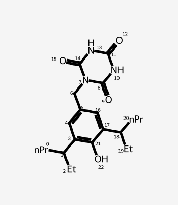 CCCC(CC)c1cc(Cn2c(=O)[nH]c(=O)[nH]c2=O)cc(C(CC)CCC)c1O